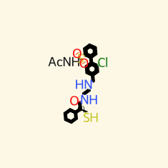 CC(=O)NS(=O)(=O)c1ccccc1-c1ccc(CNCCNC(=O)[C@@H](CS)C2CCCCC2)cc1Cl